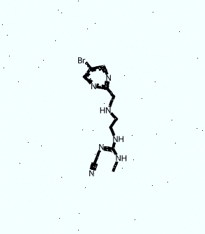 CNC(=NC#N)NCCNCc1ncc(Br)cn1